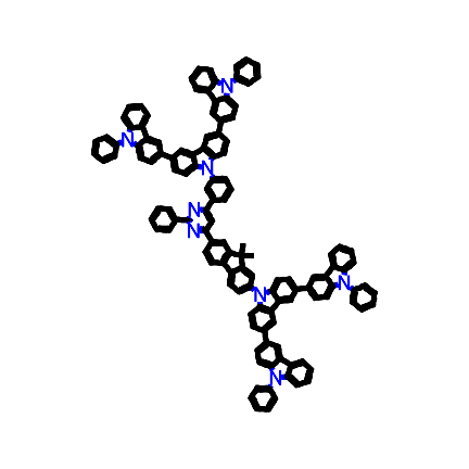 CC1(C)c2cc(-c3cc(-c4cccc(-n5c6ccc(-c7ccc8c(c7)c7ccccc7n8-c7ccccc7)cc6c6cc(-c7ccc8c(c7)c7ccccc7n8-c7ccccc7)ccc65)c4)nc(-c4ccccc4)n3)ccc2-c2ccc(-n3c4ccc(-c5ccc6c(c5)c5ccccc5n6-c5ccccc5)cc4c4cc(-c5ccc6c(c5)c5ccccc5n6-c5ccccc5)ccc43)cc21